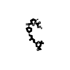 CC(/C=C/[C@@H]1C[C@]2(CO2)CC(C)(C)O1)=C\C[C@H]1CC[C@@H](NC(=O)/C=C\[C@H](C)OC(N)=O)CC1